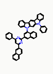 c1ccc(-c2cc(-c3ccc4ccccc4c3)nc(-c3cc(-n4c5ccccc5c5cc6c7ccccc7n(-c7ccccc7)c6cc54)c4ccccc4c3)n2)cc1